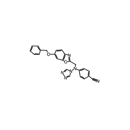 N#Cc1ccc(N(Cc2nc3ccc(OCc4ccccc4)cc3o2)n2cnnc2)cc1